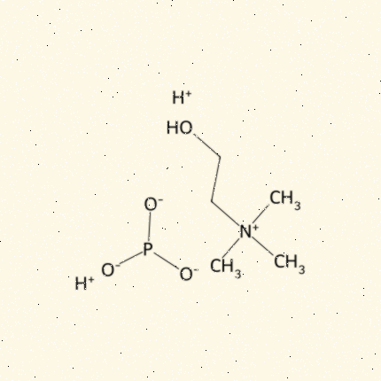 C[N+](C)(C)CCO.[H+].[H+].[O-]P([O-])[O-]